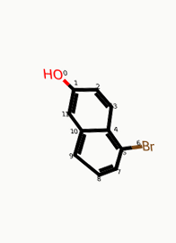 Oc1c[c]c2c(Br)cccc2c1